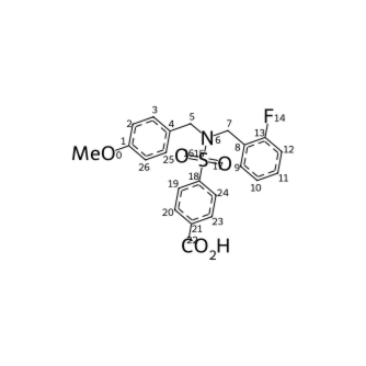 COc1ccc(CN(Cc2ccccc2F)S(=O)(=O)c2ccc(C(=O)O)cc2)cc1